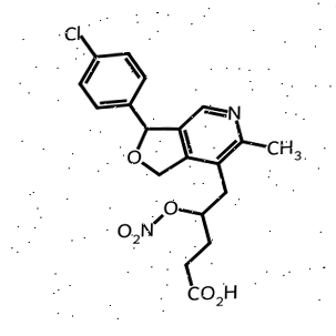 Cc1ncc2c(c1CC(CCC(=O)O)O[N+](=O)[O-])COC2c1ccc(Cl)cc1